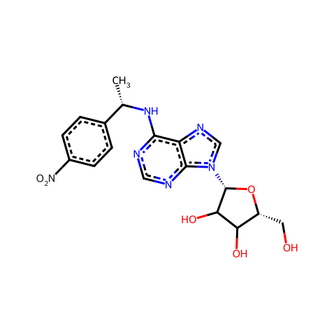 C[C@H](Nc1ncnc2c1ncn2[C@@H]1O[C@H](CO)C(O)C1O)c1ccc([N+](=O)[O-])cc1